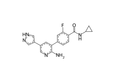 Nc1ncc(-c2cn[nH]c2)cc1-c1ccc(C(=O)NC2CC2)c(F)c1